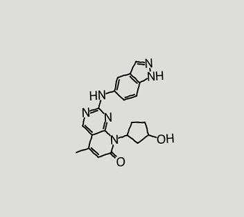 Cc1cc(=O)n(C2CCC(O)C2)c2nc(Nc3ccc4[nH]ncc4c3)ncc12